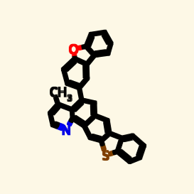 Cc1ccnc2c1c(-c1ccc3oc4ccccc4c3c1)cc1cc3c(cc12)sc1ccccc13